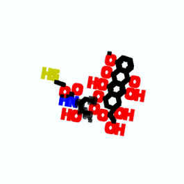 COc1cccc2c1C(=O)c1c(O)c3c(c(O)c1C2=O)CC(O)(C(=O)CO)CC3O[C@@H]1C[C@@H](NC(=O)OCCS)[C@@H](O)[C@@H](C)O1